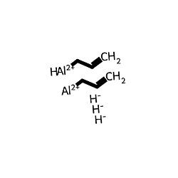 C=C[CH2][Al+2].C=C[CH2][Al+2].[H-].[H-].[H-].[H-]